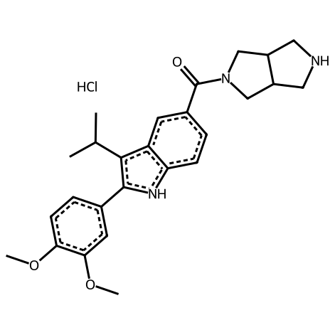 COc1ccc(-c2[nH]c3ccc(C(=O)N4CC5CNCC5C4)cc3c2C(C)C)cc1OC.Cl